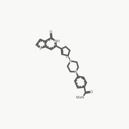 CNC(=O)c1ccc(N2CCN([C@H]3C=C(c4cc5sccc5c(=O)[nH]4)CC3)CC2)cc1